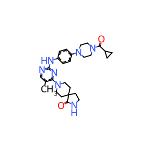 Cc1cnc(Nc2ccc(N3CCN(C(=O)C4CC4)CC3)cc2)nc1N1CCC2(CCNC2=O)CC1